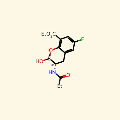 CCOC(=O)c1cc(F)cc2c1OB(O)[C@@H](NC(=O)CC)C2